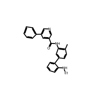 CCNc1ccccc1-c1ccc(C)c(NC(=O)c2cncc(-c3ccccc3)c2)c1